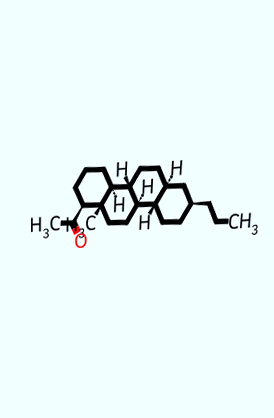 CCC[C@H]1CC[C@H]2[C@@H](CC[C@@H]3[C@@H]2CC[C@]2(C)[C@@H](C(C)=O)CCC[C@@H]32)C1